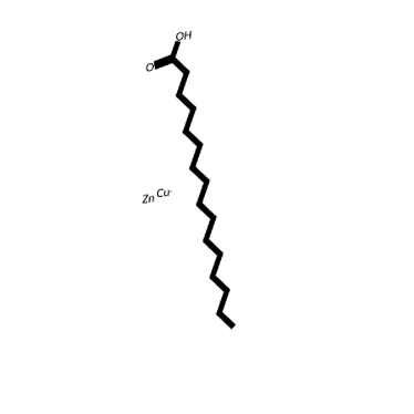 CCCCCCCCCCCCCCCC(=O)O.[Cu].[Zn]